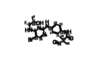 C[C@@H](O)[C@@H](C)Nc1nc(Nc2ccc(NC(=O)S(C)(C)N=O)cc2)ncc1Br